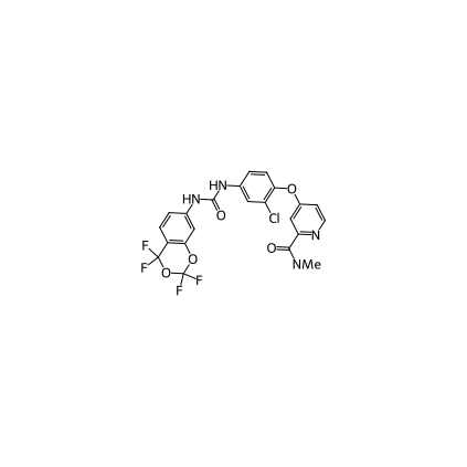 CNC(=O)c1cc(Oc2ccc(NC(=O)Nc3ccc4c(c3)OC(F)(F)OC4(F)F)cc2Cl)ccn1